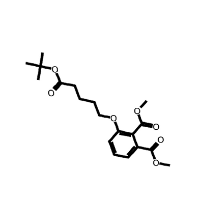 COC(=O)c1cccc(OCCCCC(=O)OC(C)(C)C)c1C(=O)OC